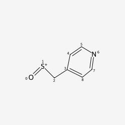 O=[S+]Cc1ccncc1